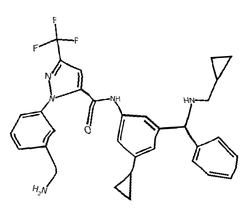 NCc1cccc(-n2nc(C(F)(F)F)cc2C(=O)Nc2cc(C3CC3)cc(C(NCC3CC3)c3ccccc3)c2)c1